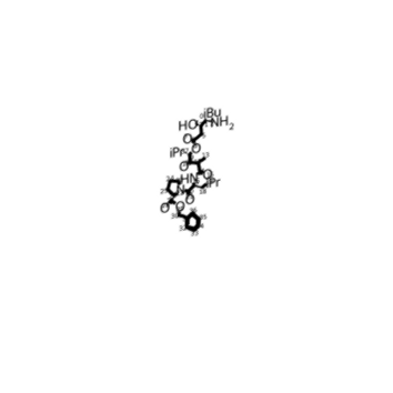 CC[C@H](C)[C@@H](N)[C@@H](O)CC(=O)O[C@H](C(=O)C(C)C(=O)N[C@@H](CC(C)C)C(=O)N1CCC[C@H]1C(=O)OCc1ccccc1)C(C)C